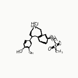 CS(=O)(=O)Nc1ccc2c(c1)CNCC2c1ccc(O)c(O)c1.Cl